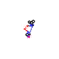 CC1(C)C(/C=C/C=C/C=C2\N(CCOC=O)c3cccc([N+](=O)[O-])c3C2(C)C)=[N+](CCC(=O)O)c2c1c1ccccc1c1ccccc21